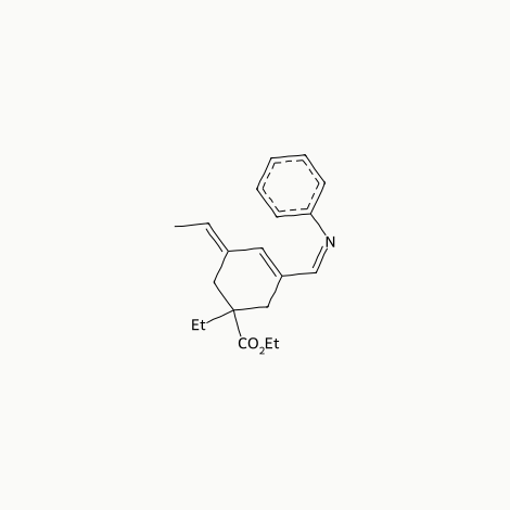 C/C=C1C=C(/C=N\c2ccccc2)CC(CC)(C(=O)OCC)C/1